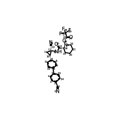 N#Cc1ccc(-c2ccc([C@@H]3C[C@@]3(C#N)NC(=O)[C@@H]3CCCCN3OC(=O)C(F)(F)F)cc2)cc1